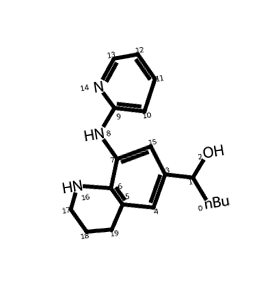 CCCCC(O)c1cc2c(c(Nc3ccccn3)c1)NCCC2